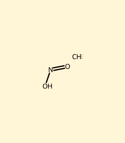 O=NO.[CH]